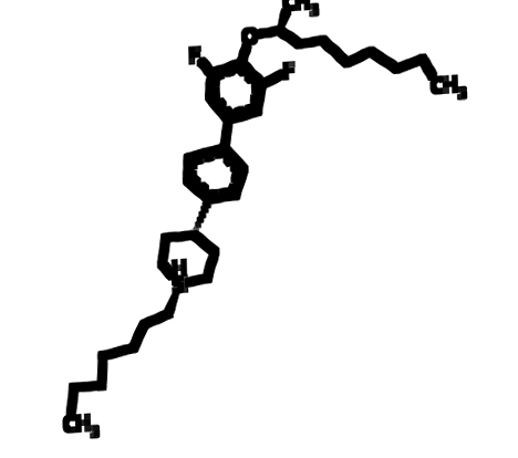 CCCCCCC[C@H](C)Oc1c(F)cc(-c2ccc([C@H]3CC[Si@H](CCCCCCC)CC3)cc2)cc1F